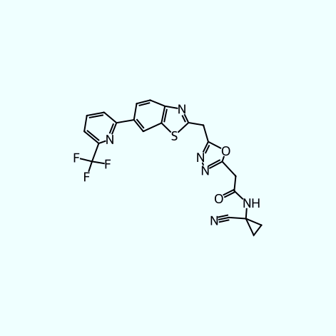 N#CC1(NC(=O)Cc2nnc(Cc3nc4ccc(-c5cccc(C(F)(F)F)n5)cc4s3)o2)CC1